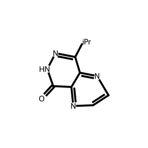 CC(C)c1n[nH]c(=O)c2nccnc12